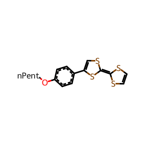 CCCCCOc1ccc(C2=CSC(=C3SC=CS3)S2)cc1